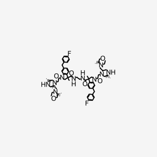 C[C@@H]1CN(CC(=O)N2CC(C)(C(=O)NCCNC(=O)C3(C)CN(C(=O)CN4C[C@@H](C)NC[C@@H]4CN4CCOC[C@H]4C)c4cc(Cc5ccc(F)cc5)ccc43)c3ccc(Cc4ccc(F)cc4)cc32)C(CN2CCOC[C@H]2C)CN1